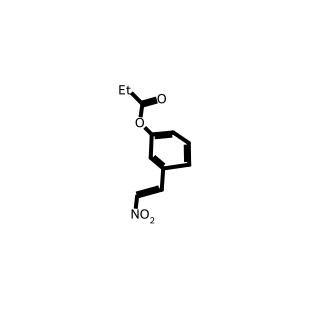 CCC(=O)Oc1cccc(C=C[N+](=O)[O-])c1